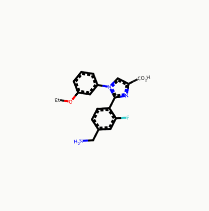 CCOc1cccc(-n2cc(C(=O)O)nc2-c2ccc(CN)cc2F)c1